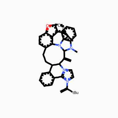 C=C1C2N(C)c3cccc4c3N2c2c(ccc3oc5cccc(c5c23)C4(C)C)CCC2c3ccccc3-c3n(C(=C)C(C)(C)C)cc[n+]3C12